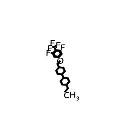 CCCC1CCC(C2CCC(COc3cc(F)c(C(F)(F)F)c(F)c3)CC2)CC1